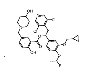 O=C(O[C@@H](Cc1c(Cl)cncc1Cl)c1ccc(OC(F)F)c(OCC2CC2)c1)c1cc(CN2CCC(O)CC2)ccc1O